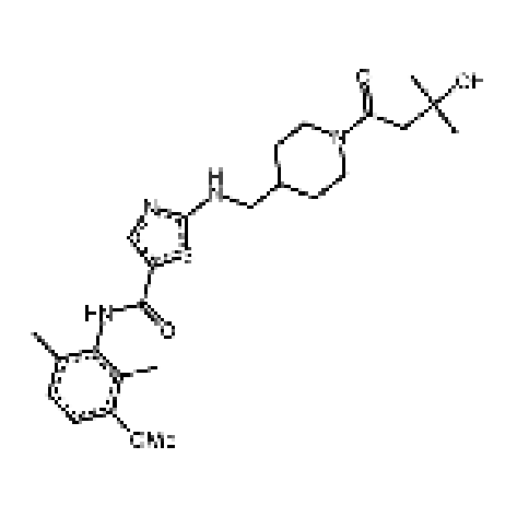 COc1ccc(C)c(NC(=O)c2cnc(NCC3CCN(C(=O)CC(C)(C)O)CC3)s2)c1C